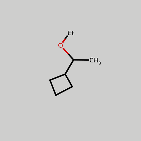 CCOC(C)C1CCC1